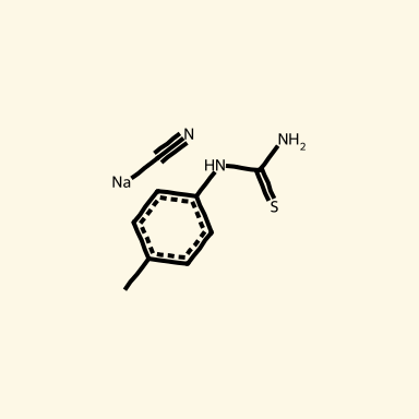 Cc1ccc(NC(N)=S)cc1.N#[C][Na]